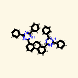 c1ccc(C2=NC(c3cccc4c3ccc3c(C5=NC(c6ccccc6)NC(c6ccccc6)=N5)cccc34)NC(c3ccccc3)=N2)cc1